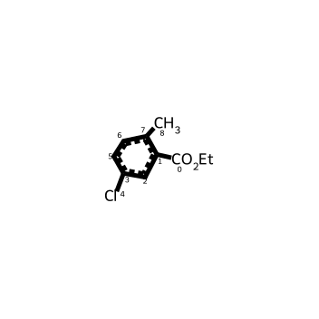 CCOC(=O)c1cc(Cl)[c]cc1C